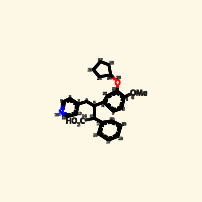 COc1ccc(C(Cc2ccncc2)C(C(=O)O)c2ccccc2)cc1OC1CCCC1